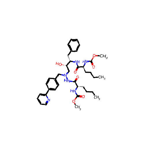 CCCC[C@H](NC(=O)OC)C(=O)N[C@@H](Cc1ccccc1)[C@@H](O)CN(Cc1ccc(-c2ccccn2)cc1)NC(=O)[C@H](CCCC)NC(=O)OC